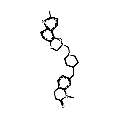 Cc1ccc2c3c(ccc2n1)OC[C@H](CN1CCC(Cc2ccc4c(c2)N(C)C(=O)CC4)CC1)O3